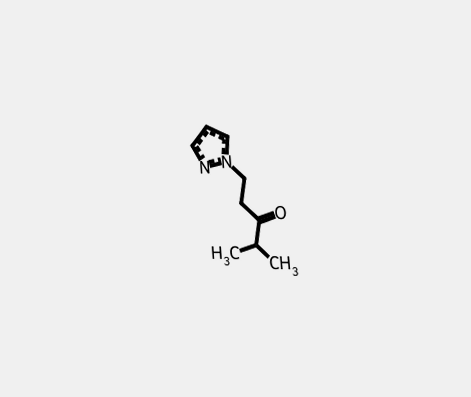 CC(C)C(=O)CCn1cccn1